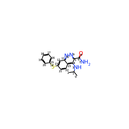 CC(C)Nc1c(C(N)=O)nnc2cc(Sc3ccccc3)ccc12